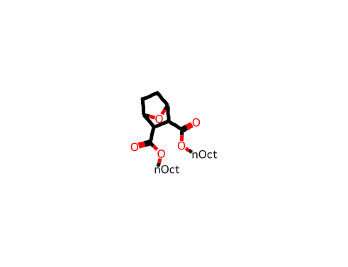 CCCCCCCCOC(=O)C1C2CCC(O2)C1C(=O)OCCCCCCCC